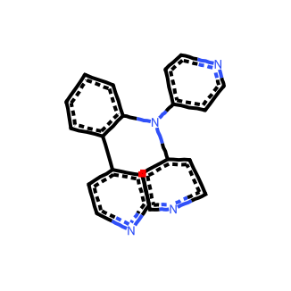 c1ccc(N(c2ccncc2)c2ccncc2)c(-c2ccncc2)c1